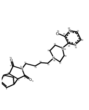 O=C1C2C3C=CC(C3)C2C(=O)N1CCCCN1CCN(c2nccnc2Cl)CC1